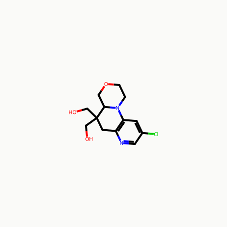 OCC1(CO)Cc2ncc(Cl)cc2N2CCOCC21